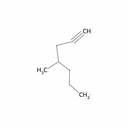 C#CCC(C)CC[CH2]